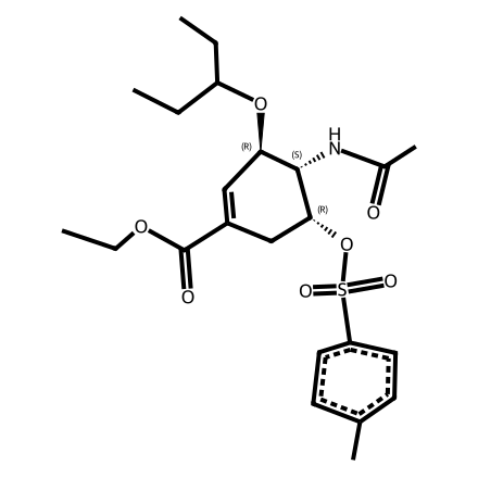 CCOC(=O)C1=C[C@@H](OC(CC)CC)[C@H](NC(C)=O)[C@H](OS(=O)(=O)c2ccc(C)cc2)C1